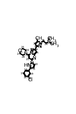 Cc1cc(-c2cc3nc(N4C=CC(c5cccc(Cl)c5)N4)cc(N4CCOCC4)n3n2)nn1CCN(C)C